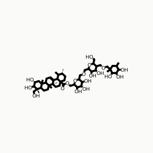 CC1CC(C)(COCC2C(CO)OC(COCC3OC(COC(=O)C45CC[C@@H](C)C(C)C4C4=CCC6C7(C)C[C@@H](O)C(O)[C@@](C)(CO)C7CCC6(C)[C@]4(C)CC5)C(O)C(O)C3O)C(O)C2O)C(O)C(O)C1O